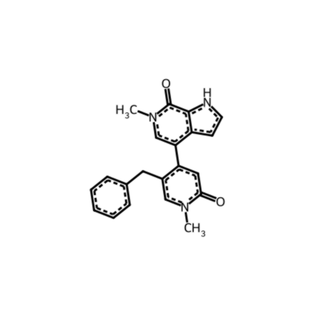 Cn1cc(Cc2ccccc2)c(-c2cn(C)c(=O)c3[nH]ccc23)cc1=O